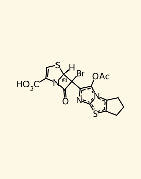 CC(=O)Oc1c(C2(Br)C(=O)N3C(C(=O)O)=CS[C@@H]32)nc2sc3c(n12)CCC3